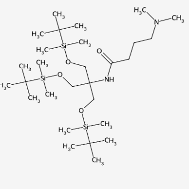 CN(C)CCCC(=O)NC(CO[Si](C)(C)C(C)(C)C)(CO[Si](C)(C)C(C)(C)C)CO[Si](C)(C)C(C)(C)C